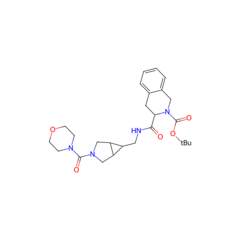 CC(C)(C)OC(=O)N1Cc2ccccc2CC1C(=O)NCC1C2CN(C(=O)N3CCOCC3)CC12